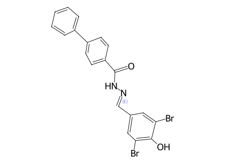 O=C(N/N=C/c1cc(Br)c(O)c(Br)c1)c1ccc(-c2ccccc2)cc1